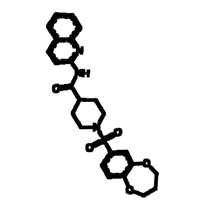 O=C(Nc1ccc2ccccc2n1)C1CCN(S(=O)(=O)c2ccc3c(c2)OCCCO3)CC1